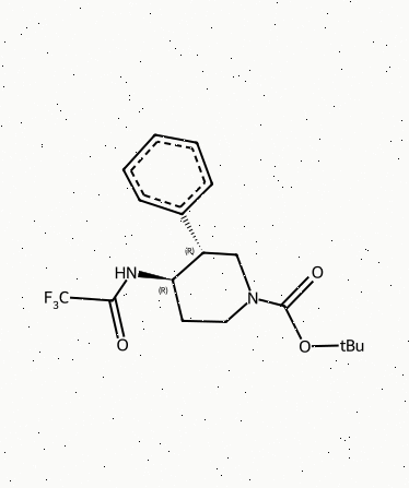 CC(C)(C)OC(=O)N1CC[C@@H](NC(=O)C(F)(F)F)[C@H](c2ccccc2)C1